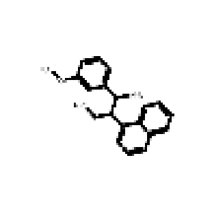 CCC(c1cccc2ccccc12)C(N)c1cccc(OC)c1